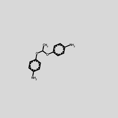 CC(Oc1ccc(N)cc1)Oc1ccc(N)cc1